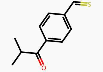 CC(C)C(=O)c1ccc(C=S)cc1